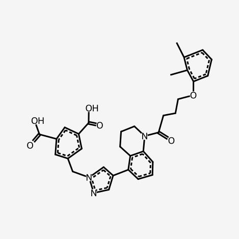 Cc1cccc(OCCCC(=O)N2CCCc3c(-c4cnn(Cc5cc(C(=O)O)cc(C(=O)O)c5)c4)cccc32)c1C